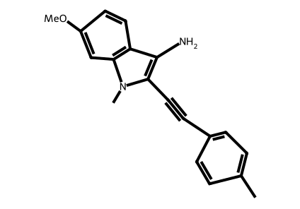 COc1ccc2c(N)c(C#Cc3ccc(C)cc3)n(C)c2c1